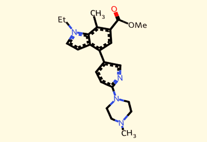 CCn1ccc2c(-c3ccc(N4CCN(C)CC4)nc3)cc(C(=O)OC)c(C)c21